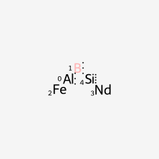 [Al].[B].[Fe].[Nd].[Si]